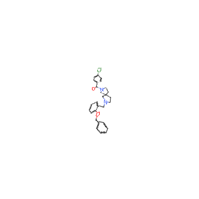 O=C(c1ccc(Cl)cc1)N1CCC2(CCN(Cc3ccccc3OCc3ccccc3)C2)C1